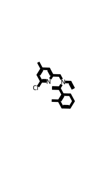 C=CN(Cc1cc(C)cc(Cl)n1)C(=C)C1=C(C)C=CCC1